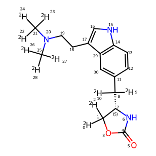 [2H]C1([2H])OC(=O)N[C@H]1C([2H])([2H])c1ccc2[nH]cc(CCN(C([2H])([2H])[2H])C([2H])([2H])[2H])c2c1